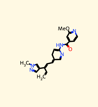 C=C/C(=C\C=C1\C=NC(NC(=O)c2ccnc(OC)c2)=CC1)c1cnn(C)c1